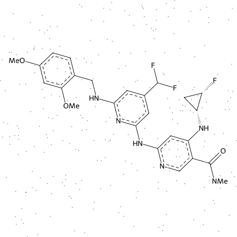 CNC(=O)c1cnc(Nc2cc(C(F)F)cc(NCc3ccc(OC)cc3OC)n2)cc1N[C@@H]1C[C@@H]1F